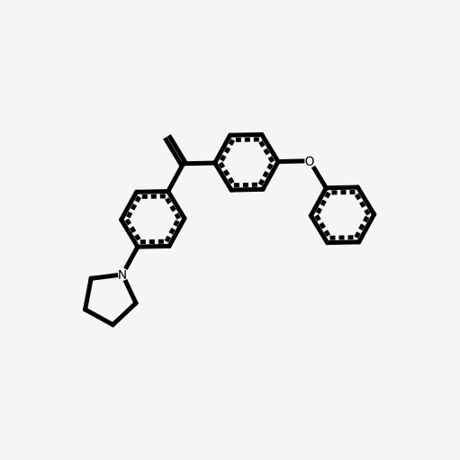 C=C(c1ccc(Oc2ccccc2)cc1)c1ccc(N2CCCC2)cc1